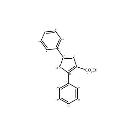 CCOC(=O)c1cc(-c2ccccc2)sc1-c1ccccc1